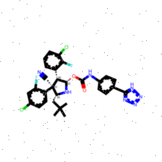 CC(C)(C)C[C@H]1N[C@@H](OC(=O)Nc2ccc(-c3nnn[nH]3)cc2)[C@@H](c2cccc(Cl)c2F)[C@]1(C#N)c1ccc(Cl)cc1F